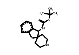 CC(C)(C)OC(=O)NC1c2ccccc2OC12CCNCC2